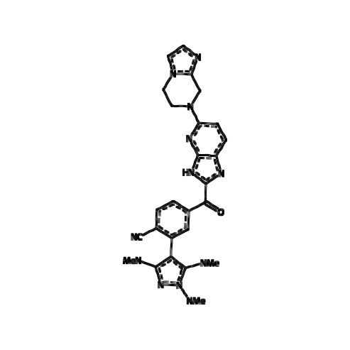 CNc1nn(NC)c(NC)c1-c1cc(C(=O)c2nc3ccc(N4CCn5ccnc5C4)nc3[nH]2)ccc1C#N